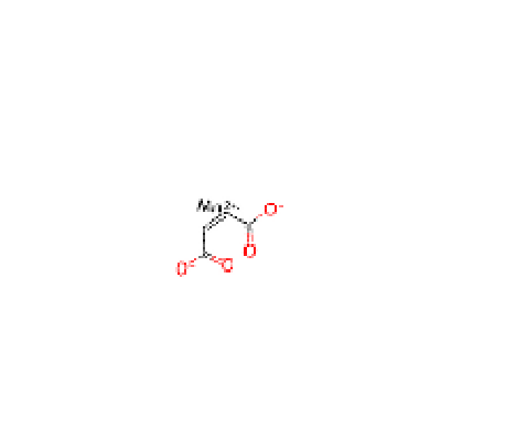 O=C([O-])/C=C\C(=O)[O-].[Mn+2]